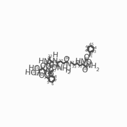 CO[C@@]1(Cc2ccccc2)O[C@H](CO)[C@@H](O)[C@H](OC(=O)NC(C)C(=O)NC(CCC(=O)NCCCCC(NC(=O)OCc2ccccc2)C(N)=O)C(N)=O)[C@H]1NC(C)=O